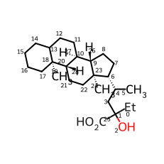 CCC(O)(CC(C)[C@H]1CC[C@H]2[C@@H]3CCC4CCCC[C@]4(C)[C@H]3CC[C@]12C)C(=O)O